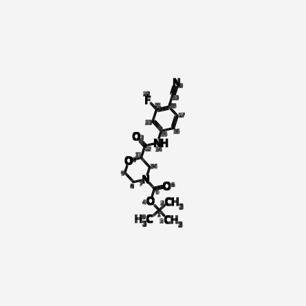 CC(C)(C)OC(=O)N1CCOC(C(=O)Nc2ccc(C#N)c(F)c2)C1